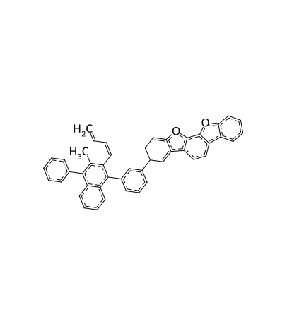 C=C/C=C\c1c(C)c(-c2ccccc2)c2ccccc2c1-c1cccc(C2C=c3c(oc4c3ccc3c5ccccc5oc34)=CC2)c1